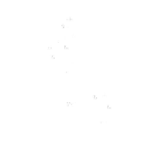 COc1cc(/C=C2\CCCN3C2=NOC32C(=O)N(C)c3ccccc32)ccc1-n1cnc(C)c1